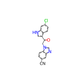 N#Cc1ccc2c(c1)ncn2CC(=O)c1c[nH]c2cc(Cl)ccc12